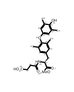 COC(=O)[C@H](Cc1cc(I)c(Oc2cc(I)c(O)c(I)c2)c(I)c1)NC(=O)CCC(=O)O